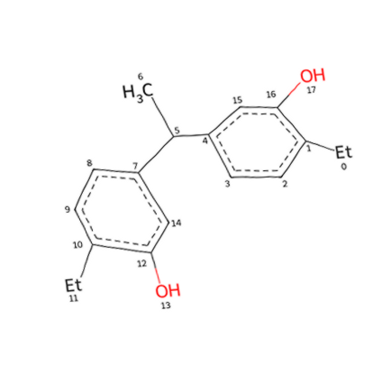 CCc1ccc(C(C)c2ccc(CC)c(O)c2)cc1O